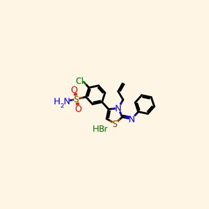 Br.C=CCn1c(-c2ccc(Cl)c(S(N)(=O)=O)c2)cs/c1=N/c1ccccc1